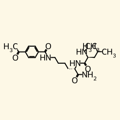 CN[C@@H](CC(C)C)C(=O)N[C@@H](CCCCNC(=O)c1ccc(C(C)=O)cc1)C(N)=O